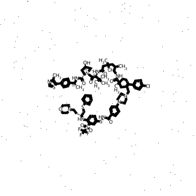 Cc1ncsc1-c1ccc([C@H](C)NC(=O)[C@@H]2C[C@@H](O)CN2C(=O)[C@@H](NC(=O)CC(C)(C)CC(C)CNC(=O)C2(C)CCC(c3ccc(Cl)cc3)=C(CN3CCN(c4ccc(C(=O)NSc5ccc(N[C@H](CCN6CCOCC6)CSc6ccccc6)c(S(=O)(=O)C(F)(F)F)c5)cc4)CC3)C2)C(C)(C)C)cc1